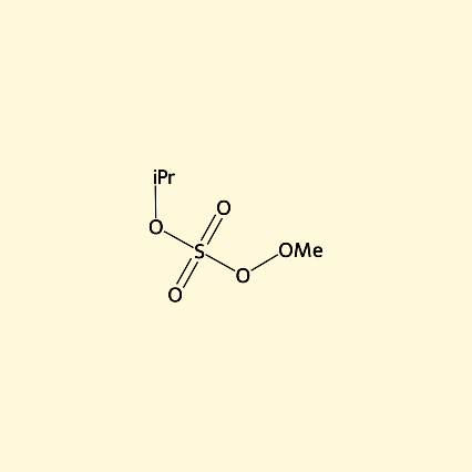 COOS(=O)(=O)OC(C)C